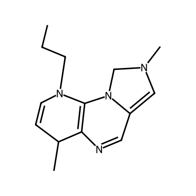 CCCN1C=CC(C)C2=C1N1CN(C)C=C1C=N2